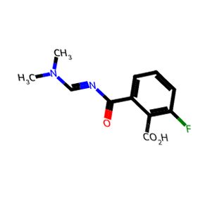 CN(C)C=NC(=O)c1cccc(F)c1C(=O)O